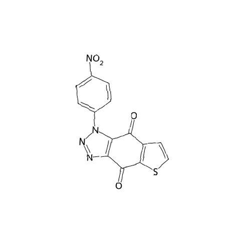 O=C1c2nnn(-c3ccc([N+](=O)[O-])cc3)c2C(=O)c2ccsc21